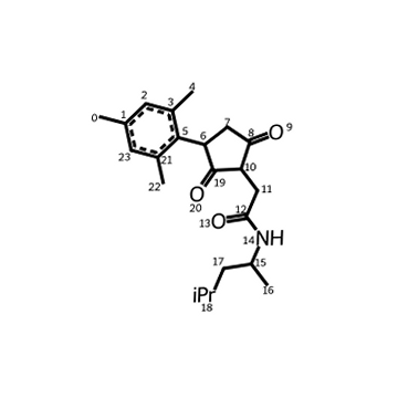 Cc1cc(C)c(C2CC(=O)C(CC(=O)NC(C)CC(C)C)C2=O)c(C)c1